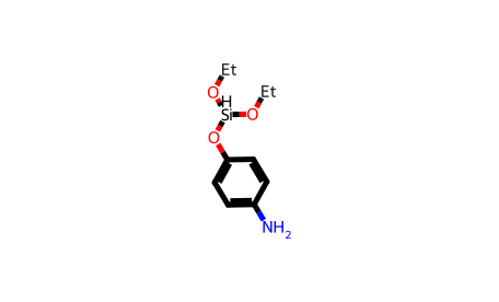 CCO[SiH](OCC)Oc1ccc(N)cc1